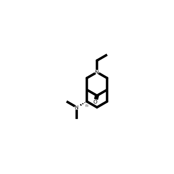 CCN1CC2CC[C@H](N(C)C)C(C1)C2=O